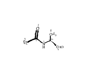 CCC(=O)N[C@@H](C)C=O